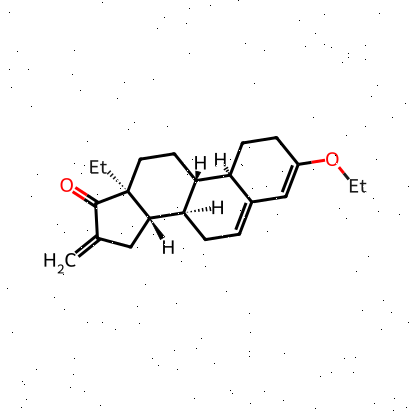 C=C1C[C@H]2[C@@H]3CC=C4C=C(OCC)CC[C@@H]4[C@H]3CC[C@]2(CC)C1=O